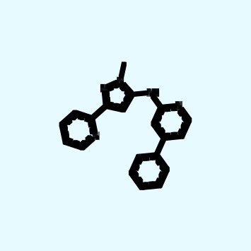 Cn1nc(-c2ccccn2)cc1Nc1cc(-c2ccccc2)ccn1